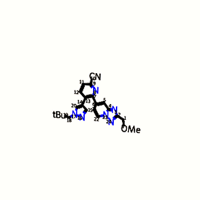 COCc1nc2cc(-c3nc(C#N)ccc3-c3cnn(CC(C)(C)C)c3)ccn2n1